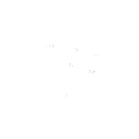 Cn1cc(C(CO)c2cccc(Cl)c2)nc1C(N)=O